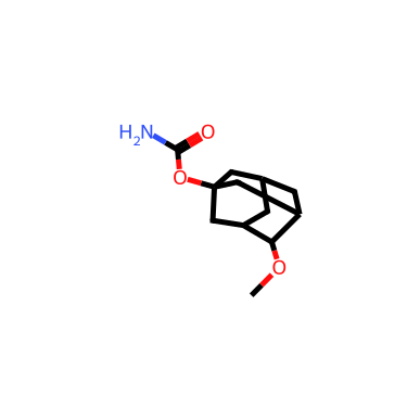 COC1C2CC3CC1CC(OC(N)=O)(C3)C2